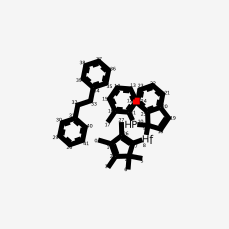 CC1=C(C)C(C)(C)[C]([Hf][C]2(Pc3ccccc3C)C=Cc3ccccc32)=C1C.c1ccc(CCc2ccccc2)cc1